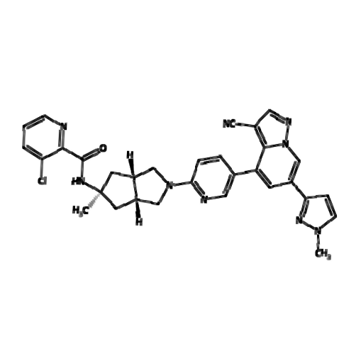 Cn1ccc(-c2cc(-c3ccc(N4C[C@@H]5C[C@@](C)(NC(=O)c6ncccc6Cl)C[C@@H]5C4)nc3)c3c(C#N)cnn3c2)n1